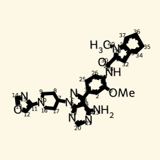 COc1cc(-c2nn(C3CCN(c4cocn4)CC3)c3ncnc(N)c23)ccc1NC(=O)c1cc2ccccc2n1C